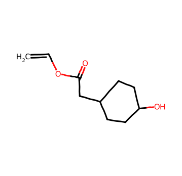 C=COC(=O)CC1CCC(O)CC1